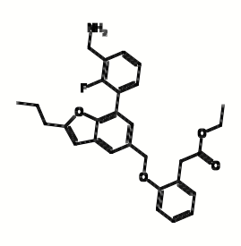 CCCc1cc2cc(COc3ccccc3CC(=O)OCC)cc(-c3cccc(CN)c3F)c2o1